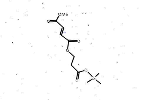 COC(=O)/C=C/C(=O)OCCC(=O)O[Si](C)(C)C